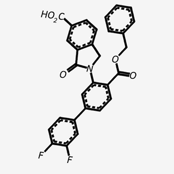 O=C(O)c1ccc2c(c1)C(=O)N(c1cc(-c3ccc(F)c(F)c3)ccc1C(=O)OCc1ccccc1)C2